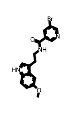 COc1ccc2[nH]cc(CCNC(=O)c3cncc(Br)c3)c2c1